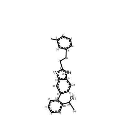 Cc1cccc(CCc2nc3cc(-c4ccccc4C(C)O)ccc3[nH]2)c1